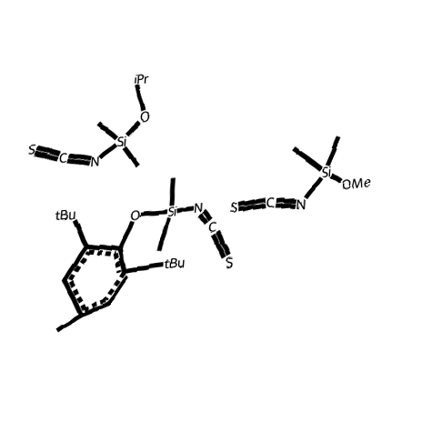 CC(C)O[Si](C)(C)N=C=S.CO[Si](C)(C)N=C=S.Cc1cc(C(C)(C)C)c(O[Si](C)(C)N=C=S)c(C(C)(C)C)c1